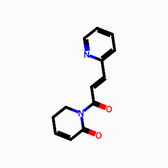 O=C1C=CCCN1C(=O)C=Cc1ccccn1